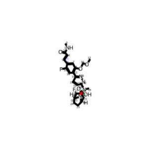 CNC(=O)/C=C/c1cc(OCOC)c(-c2ccc(N(C)[C@@H]3C[C@H]4CC[C@@H]([C@@H]3F)N4C(=O)O)nn2)cc1F